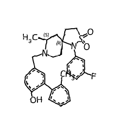 Cc1ccccc1-c1cc(CN2CC[C@]3(CCS(=O)(=O)N3c3cccc(F)c3)C[C@@H]2C)ccc1O